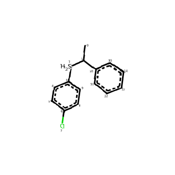 CC([SiH2]c1ccc(Cl)cc1)c1ccccc1